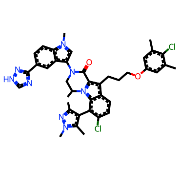 Cc1cc(OCCCc2c3n(c4c(-c5c(C)nn(C)c5C)c(Cl)ccc24)C(C)CN(c2cn(C)c4ccc(-c5nc[nH]n5)cc24)C3=O)cc(C)c1Cl